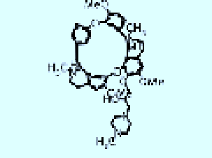 COc1ccc2cc1Oc1ccc(cc1)C[C@H]1c3cc(c(OC)cc3CCN1C)Oc1c(OCC(O)CN3CCN(C)CC3)c(OC)cc3c1[C@H](C2)N(C)CC3